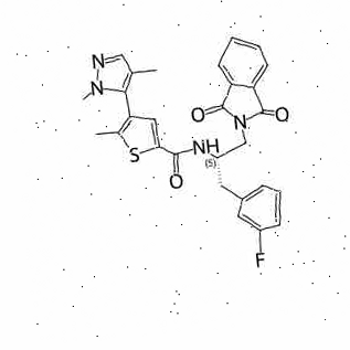 Cc1cnn(C)c1-c1cc(C(=O)N[C@@H](Cc2cccc(F)c2)CN2C(=O)c3ccccc3C2=O)sc1C